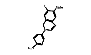 CNc1cc2c(cc1F)CN(c1ccc([N+](=O)[O-])cc1)C=C2